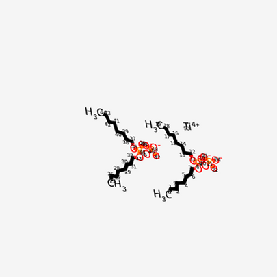 CCCCCCCCOP(=O)(OCCCCCCCC)OP(=O)([O-])[O-].CCCCCCCCOP(=O)(OCCCCCCCC)OP(=O)([O-])[O-].[Ti+4]